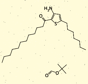 CC(C)(C)OC=O.CCCCCCCCCCCC(=O)c1sc(CCCCCCC)cc1N